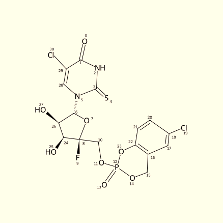 O=c1[nH]c(=S)n([C@@H]2O[C@](F)(COP3(=O)OCc4cc(Cl)ccc4O3)[C@@H](O)[C@H]2O)cc1Cl